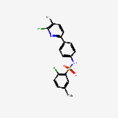 COc1ccc(F)c(S(=O)(=O)Nc2ccc(-c3ccc(C#N)c(Cl)n3)cc2)c1